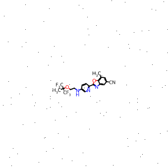 Cc1cc(C#N)cc2nc(-c3ccc(NCCOC(C)(C(F)(F)F)C(F)(F)F)cn3)oc12